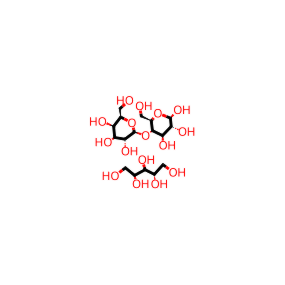 OC[C@H](O)C(O)[C@@H](O)CO.OC[C@H]1O[C@@H](O[C@H]2[C@H](O)[C@@H](O)[C@H](O)O[C@@H]2CO)[C@H](O)[C@@H](O)[C@H]1O